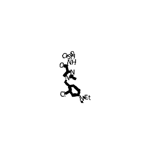 CCN(C)c1ccc(Cn2cc(C(=O)N[SH](=O)=O)nc2C)c(Cl)c1